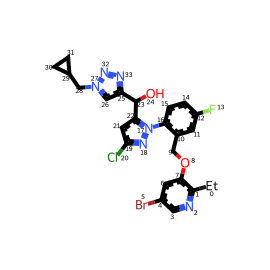 CCc1ncc(Br)cc1OCc1cc(F)ccc1-n1nc(Cl)cc1C(O)c1cn(CC2CC2)nn1